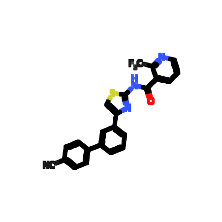 N#Cc1ccc(-c2cccc(-c3csc(NC(=O)c4cccnc4C(F)(F)F)n3)c2)cc1